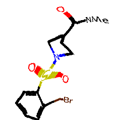 CNC(=O)C1CN(S(=O)(=O)c2ccccc2Br)C1